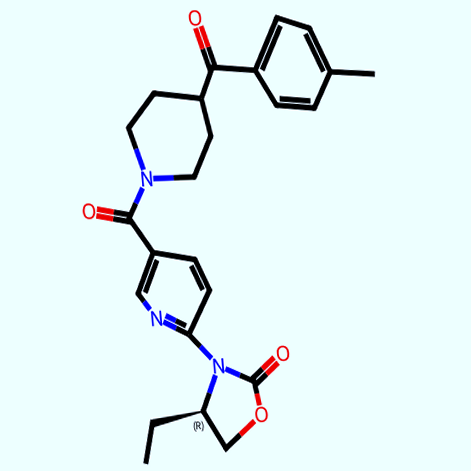 CC[C@@H]1COC(=O)N1c1ccc(C(=O)N2CCC(C(=O)c3ccc(C)cc3)CC2)cn1